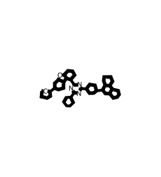 C1=CC(c2nc(-c3ccc(-c4cc5ccccc5c5ccccc45)cc3)nc(-c3cccc4oc5cc(-c6ccccc6)ccc5c34)n2)=CCC1